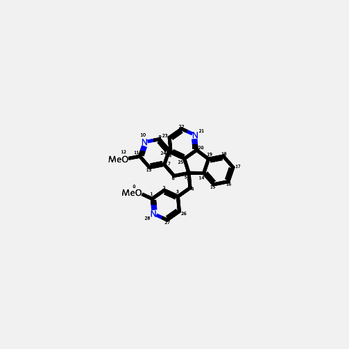 COc1cc(CC2(Cc3ccnc(OC)c3)c3ccccc3-c3ncccc32)ccn1